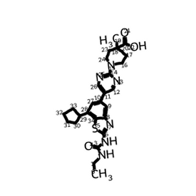 CCNC(=O)Nc1nc2cc(-c3cnc(N4CCC(C)(C(=O)O)CC4)nc3)cc(C3CCCC3)c2s1